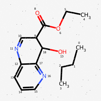 CCCC.CCOC(=O)C1C=Nc2cccnc2C1O